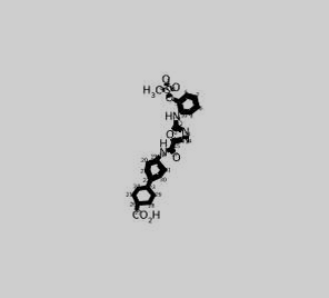 CS(=O)(=O)Oc1ccccc1Nc1nnc(C(=O)Nc2ccc(C3CCC(C(=O)O)CC3)cc2)o1